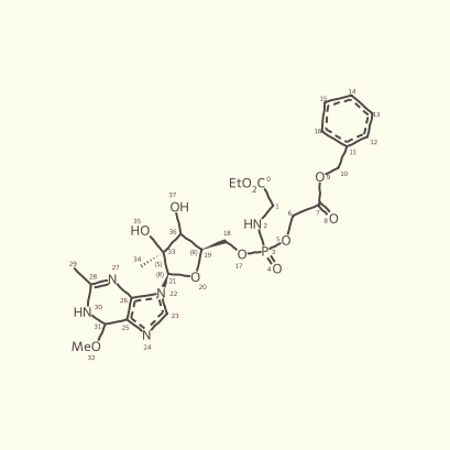 CCOC(=O)CNP(=O)(OCC(=O)OCc1ccccc1)OC[C@H]1O[C@@H](n2cnc3c2N=C(C)NC3OC)[C@@](C)(O)C1O